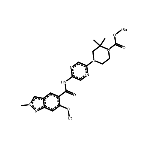 CCOc1cc2nn(C)cc2cc1C(=O)Nc1cnc(N2CCN(C(=O)OC(C)(C)C)C(C)(C)C2)cn1